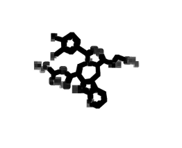 CCNC(=O)C1Cc2c([nH]c3ncccc23)C(C(=O)OC(C)C)=CN1C(=O)c1ccc(F)c(F)c1